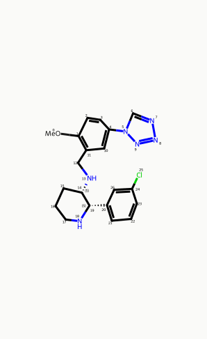 COc1ccc(-n2cnnn2)cc1CN[C@H]1CCCN[C@H]1c1cccc(Cl)c1